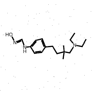 CCN(CC)CC(C)(C)CCc1ccc(NC=NO)cc1